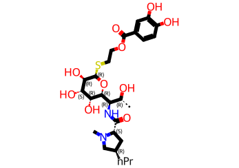 CCC[C@@H]1C[C@@H](C(=O)N[C@@H]([C@H]2O[C@H](SCCOC(=O)c3ccc(O)c(O)c3)[C@H](O)[C@@H](O)[C@H]2O)[C@@H](C)O)N(C)C1